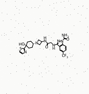 NC(=O)n1nc(NCC(=O)NC2CN([C@H]3CC[C@@](O)(c4nccs4)CC3)C2)c2cc(C(F)(F)F)ccc21